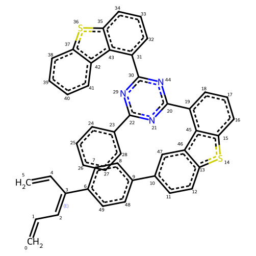 C=C/C=C(\C=C)c1ccc(-c2ccc3sc4cccc(-c5nc(-c6ccccc6)nc(-c6cccc7sc8ccccc8c67)n5)c4c3c2)cc1